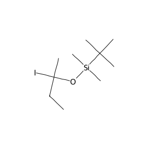 CCC(C)(I)O[Si](C)(C)C(C)(C)C